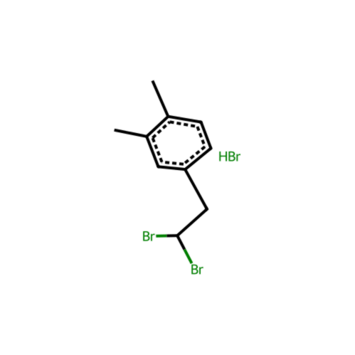 Br.Cc1ccc(CC(Br)Br)cc1C